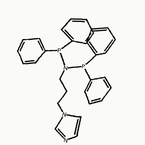 c1ccc(P(c2ccccc2)N(CCCn2ccnc2)P(c2ccccc2)c2ccccc2)cc1